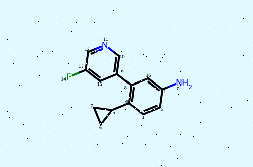 Nc1ccc(C2CC2)c(-c2cncc(F)c2)c1